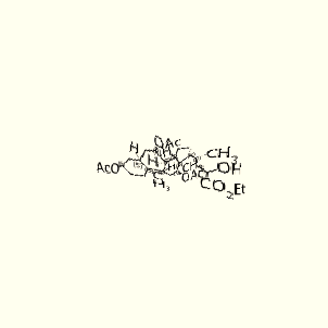 CCOC(=O)C(O)C[C@@H](C)[C@H]1CC[C@H]2[C@@H]3[C@H](OC(C)=O)C[C@@H]4C[C@H](OC(C)=O)CC[C@]4(C)[C@H]3C[C@H](OC(C)=O)[C@]12C